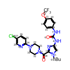 CCCCn1cc(NC(=O)Nc2ccc(OC(F)(F)F)cc2)nc1C(=O)N1CCN(c2ccc(Cl)cn2)CC1